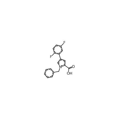 O=C(O)c1cc(-c2cc(F)ccc2F)cn1Cc1ccccc1